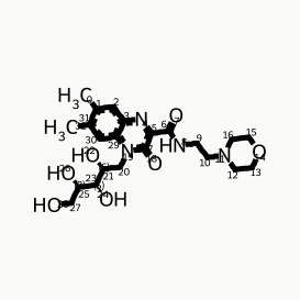 Cc1cc2nc(C(=O)NCCN3CCOCC3)c(=O)n(C[C@H](O)[C@H](O)[C@H](O)CO)c2cc1C